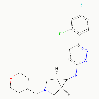 Fc1ccc(-c2ccc(NC3[C@H]4CN(CC5CCOCC5)C[C@@H]34)nn2)c(Cl)c1